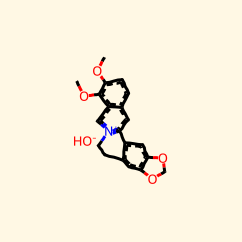 COc1ccc2cc3[n+](cc2c1OC)CCc1cc2c(cc1-3)OCO2.[OH-]